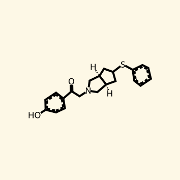 O=C(CN1C[C@H]2CC(Sc3ccccc3)C[C@H]2C1)c1ccc(O)cc1